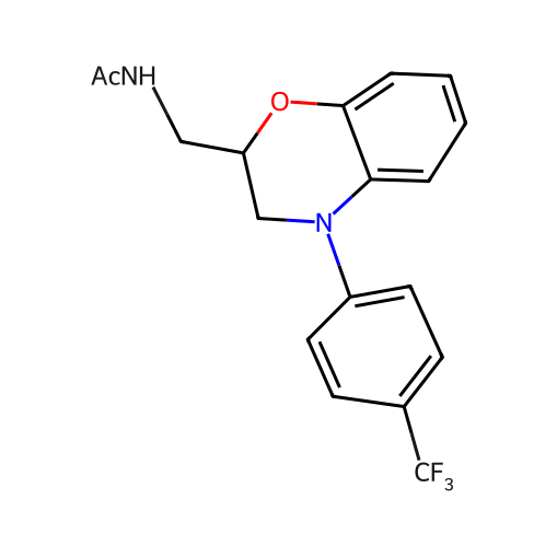 CC(=O)NCC1CN(c2ccc(C(F)(F)F)cc2)c2ccccc2O1